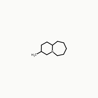 CC1CCC2CCCCCN2C1